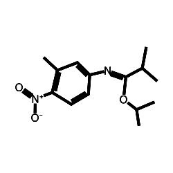 Cc1cc(/N=C(\OC(C)C)C(C)C)ccc1[N+](=O)[O-]